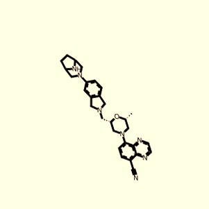 C[C@@H]1CN(c2ccc(C#N)c3nccnc23)C[C@H](CN2Cc3ccc(N4CC5CCC(C4)N5)cc3C2)O1